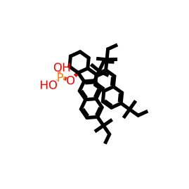 CCC(C)(C)c1ccc2cc(C3CCCCC3(OP(O)O)c3cc4ccc(C(C)(C)CC)cc4cc3C(C)(C)CC)c(C(C)(C)CC)cc2c1